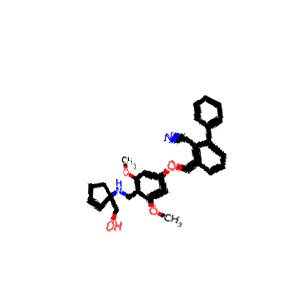 COc1cc(OCc2cccc(-c3ccccc3)c2C#N)cc(OC)c1CNC1(CO)CCCC1